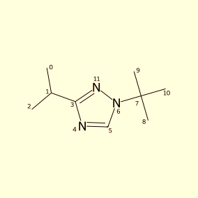 CC(C)c1ncn(C(C)(C)C)n1